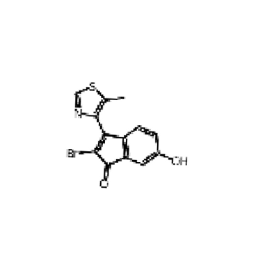 Cc1scnc1C1=C(Br)C(=O)c2cc(O)ccc21